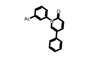 CC(=O)c1cccc(-n2cc(-c3ccccc3)ccc2=O)c1